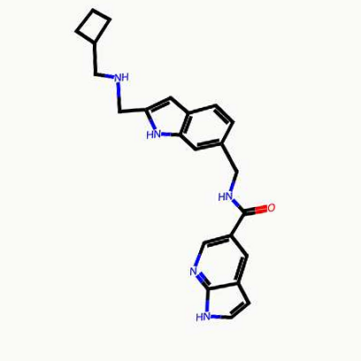 O=C(NCc1ccc2cc(CNCC3CCC3)[nH]c2c1)c1cnc2[nH]ccc2c1